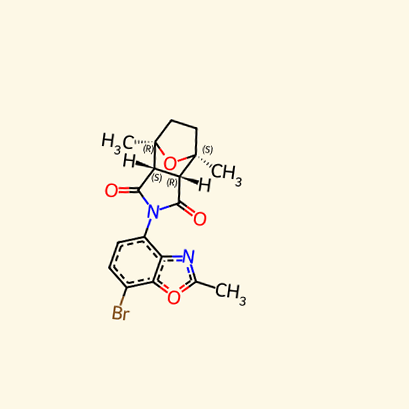 Cc1nc2c(N3C(=O)[C@@H]4[C@H](C3=O)[C@@]3(C)CC[C@]4(C)O3)ccc(Br)c2o1